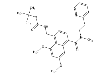 COc1cc(OC)c2c(CNC(=O)OC(C)(C)C)ncc(C(=O)N(C)CCc3ccccn3)c2c1